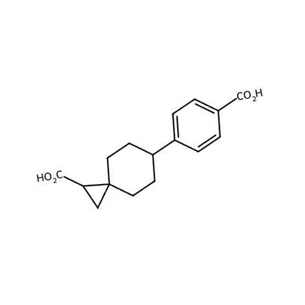 O=C(O)c1ccc(C2CCC3(CC2)CC3C(=O)O)cc1